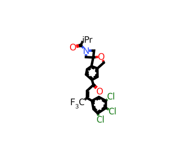 CC(C)C(=O)N1CC2(C1)OCc1cc(C(=O)C=C(c3cc(Cl)c(Cl)c(Cl)c3)C(F)(F)F)ccc12